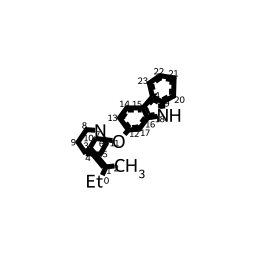 CCC(C)=C1C2CCN(CC2)C1Oc1ccc2c(c1)[nH]c1ccccc12